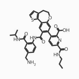 CCCNC(=O)c1ccc(-c2cc3c(cc2C(=O)Nc2ccc(CN)cc2C(=O)NC(C)C)-c2sccc2CCO3)c(C(=O)O)n1